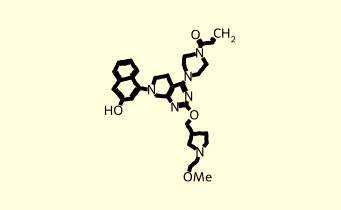 C=CC(=O)N1CCN(c2nc(OCC3CCN(CCOC)C3)nc3c2CCN(c2cc(O)cc4ccccc24)C3)CC1